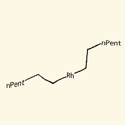 CCCCCC[CH2][Rh][CH2]CCCCCC